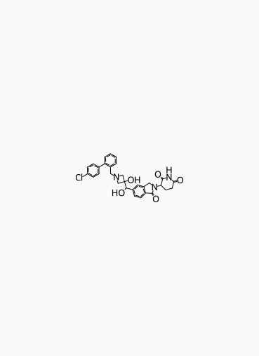 O=C1CCC(N2Cc3cc(C(O)C4(O)CN(Cc5ccccc5-c5ccc(Cl)cc5)C4)ccc3C2=O)C(=O)N1